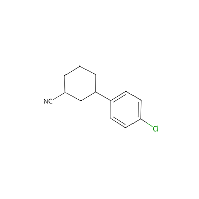 N#CC1CCCC(c2ccc(Cl)cc2)C1